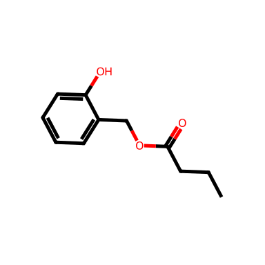 CCCC(=O)OCc1ccccc1O